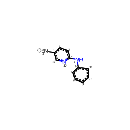 O=[N+]([O-])c1ccc(Nc2ccccc2)nc1